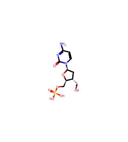 Nc1ccn([C@H]2C[C@H](CO)[C@@H](COP(=O)(O)O)O2)c(=O)n1